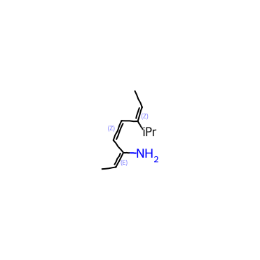 C\C=C(/C=C\C(N)=C/C)C(C)C